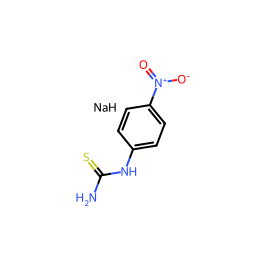 NC(=S)Nc1ccc([N+](=O)[O-])cc1.[NaH]